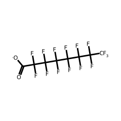 [O]C(=O)C(F)(F)C(F)(F)C(F)(F)C(F)(F)C(F)(F)C(F)(F)C(F)(F)F